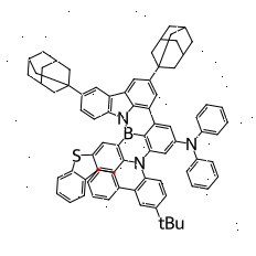 CC(C)(C)c1ccc(N2c3cc4c(cc3B3c5c(cc(N(c6ccccc6)c6ccccc6)cc52)-c2cc(C56CC7CC(CC(C7)C5)C6)cc5c6cc(C78CC9CC(CC(C9)C7)C8)ccc6n3c25)sc2ccccc24)c(-c2ccccc2)c1